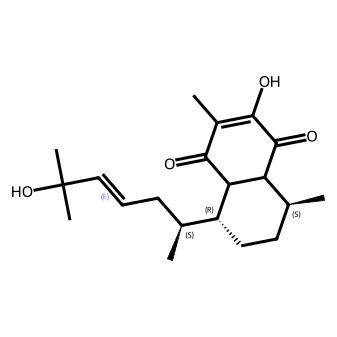 CC1=C(O)C(=O)C2C(C1=O)[C@@H]([C@@H](C)C/C=C/C(C)(C)O)CC[C@@H]2C